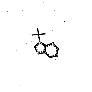 FC(F)(F)n1cnc2cncnc21